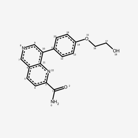 NC(=O)c1ccc2cncc(-c3ccc(OCCO)cc3)c2n1